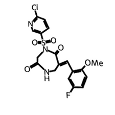 COc1ccc(F)cc1C=C1CNC(=O)CN(S(=O)(=O)c2ccc(Cl)nc2)C1=O